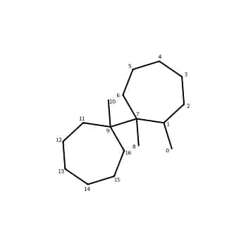 CC1CCCCCC1(C)C1(C)CCCCCC1